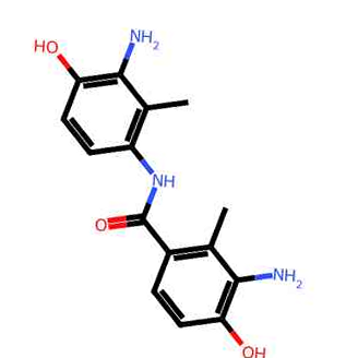 Cc1c(NC(=O)c2ccc(O)c(N)c2C)ccc(O)c1N